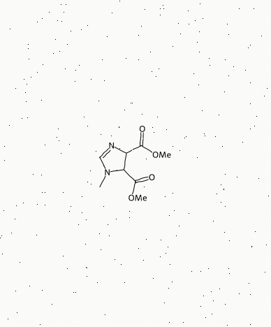 COC(=O)C1N=CN(C)C1C(=O)OC